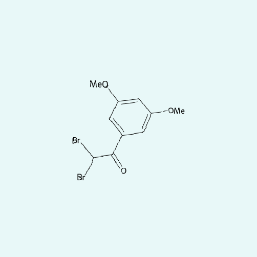 COc1cc(OC)cc(C(=O)C(Br)Br)c1